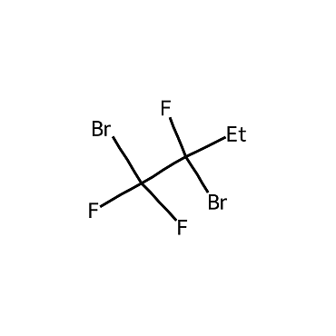 [CH2]CC(F)(Br)C(F)(F)Br